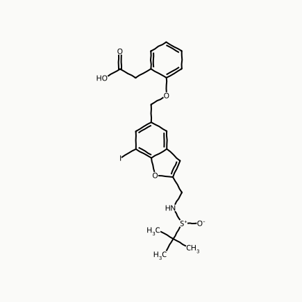 CC(C)(C)[S+]([O-])NCc1cc2cc(COc3ccccc3CC(=O)O)cc(I)c2o1